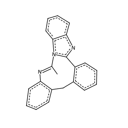 C/C1=N\c2ccccc2Cc2ccccc2-c2nc3ccccc3n21